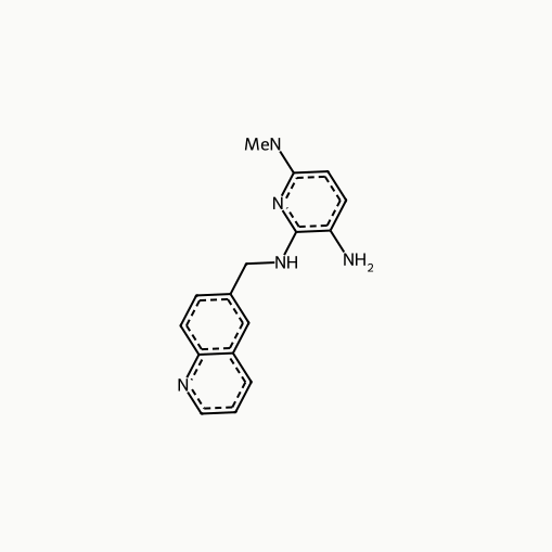 CNc1ccc(N)c(NCc2ccc3ncccc3c2)n1